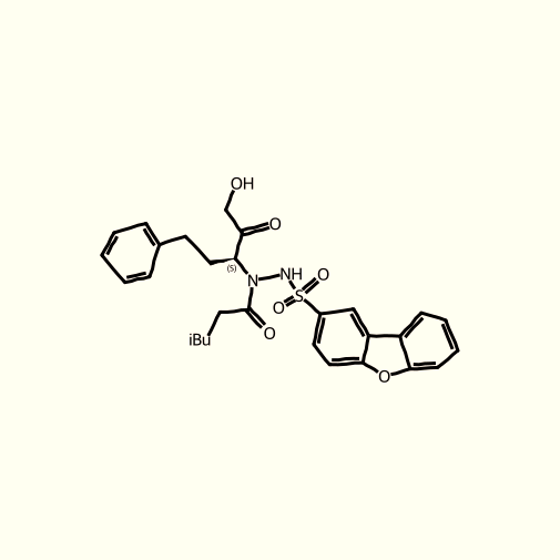 CCC(C)CC(=O)N(NS(=O)(=O)c1ccc2oc3ccccc3c2c1)[C@@H](CCc1ccccc1)C(=O)CO